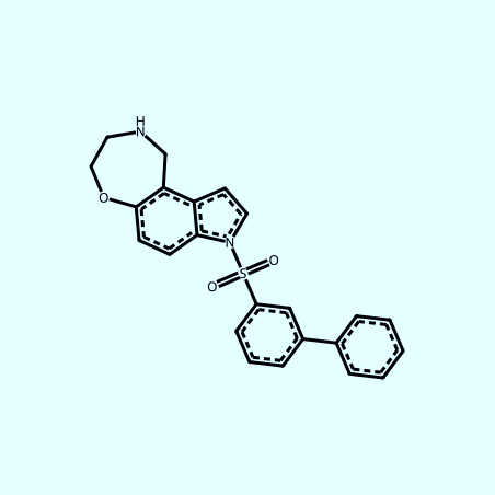 O=S(=O)(c1cccc(-c2ccccc2)c1)n1ccc2c3c(ccc21)OCCNC3